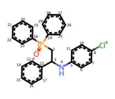 O=P(CC(Nc1ccc(Cl)cc1)c1ccccc1)(c1ccccc1)c1ccccc1